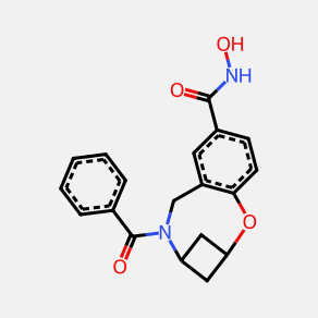 O=C(NO)c1ccc2c(c1)CN(C(=O)c1ccccc1)C1CC(C1)O2